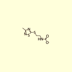 Cc1nsc(SCCNC([O])=O)n1